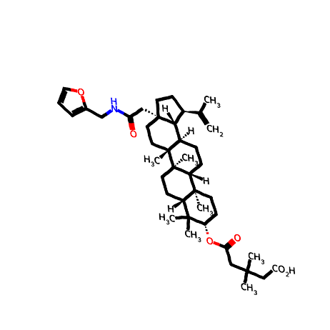 C=C(C)[C@@H]1CC[C@]2(CC(=O)NCc3ccco3)CC[C@]3(C)[C@H](CC[C@@H]4[C@@]5(C)CC[C@H](OC(=O)CC(C)(C)CC(=O)O)C(C)(C)[C@@H]5CC[C@]43C)[C@@H]12